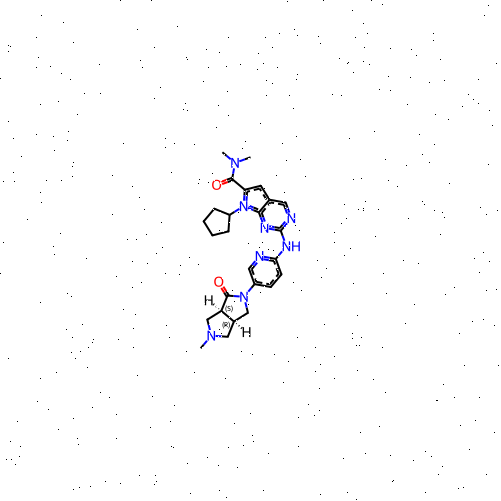 CN1C[C@@H]2CN(c3ccc(Nc4ncc5cc(C(=O)N(C)C)n(C6CCCC6)c5n4)nc3)C(=O)[C@@H]2C1